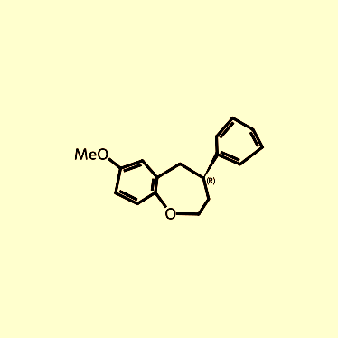 COc1ccc2c(c1)C[C@@H](c1ccccc1)CCO2